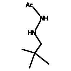 CC(=O)NNCC(C)(C)C